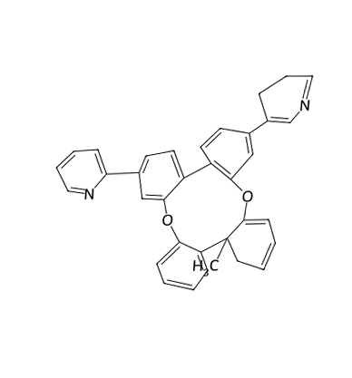 CC12CC=CC=C1Oc1cc(C3=CN=CCC3)ccc1-c1ccc(-c3ccccn3)cc1Oc1ccccc12